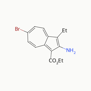 CCOC(=O)c1c2ccc(Br)ccc-2c(CC)c1N